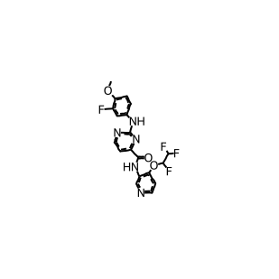 COc1ccc(Nc2nccc(C(=O)Nc3cnccc3OC(F)C(F)F)n2)cc1F